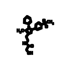 Cc1c(CCNC(=O)CO)cc(-c2ccc(S(C)(=O)=O)cc2)n1-c1ccccc1